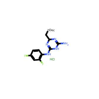 CCCCCCCCCCCC1N=C(N)NC(Nc2ccc(F)cc2F)=N1.Cl